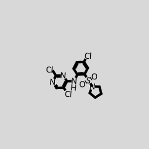 O=S(=O)(c1cc(Cl)ccc1Nc1nc(Cl)ncc1Cl)N1CCCC1